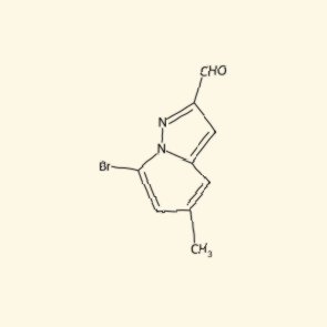 Cc1cc(Br)n2nc(C=O)cc2c1